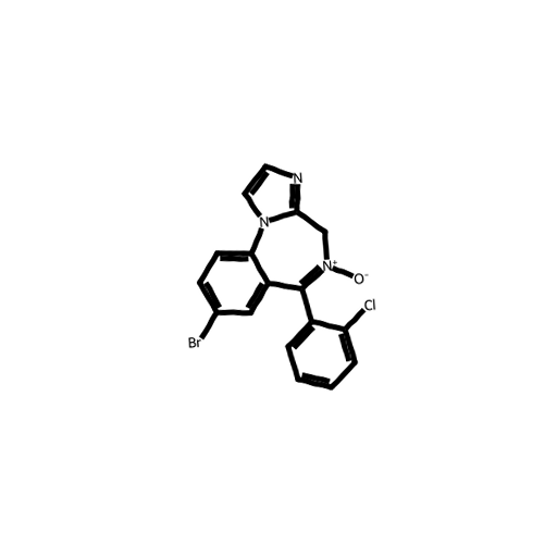 [O-][N+]1=C(c2ccccc2Cl)c2cc(Br)ccc2-n2ccnc2C1